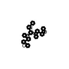 c1ccc(-c2cccc(-c3cc(-n4c5ccccc5c5c(-c6cccc7oc8ccccc8c67)cccc54)cc(-n4c5ccccc5c5c(-c6cccc7oc8ccccc8c67)cccc54)c3)n2)cc1